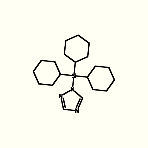 c1ncn([Si](C2CCCCC2)(C2CCCCC2)C2CCCCC2)n1